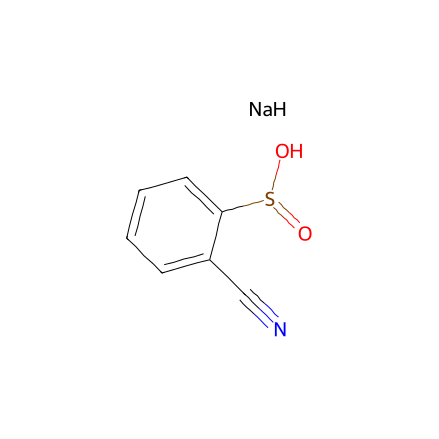 N#Cc1ccccc1S(=O)O.[NaH]